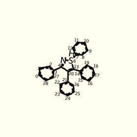 c1ccc(C2=N[SH](c3ccccc3)C(c3ccccc3)=C2c2ccccc2)cc1